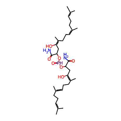 CC(C)=CCCC(C)=CCCC(C)=C(O)CC(O[PH](=O)OC(CC(O)=C(C)CCC=C(C)CCC=C(C)C)C(N)=O)C(N)=O